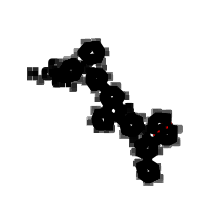 C[Si](C)(C)c1ccc(N(c2ccccc2)c2ccc(-c3ccc4c(c3)c3ccccc3c3c5ccc(N(c6ccccc6)c6c(F)cc(C7C=CC=CC7)cc6-c6ccccc6)cc5sc43)cc2)cc1